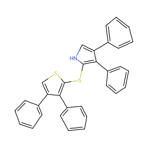 c1ccc(-c2c[nH]c(Sc3scc(-c4ccccc4)c3-c3ccccc3)c2-c2ccccc2)cc1